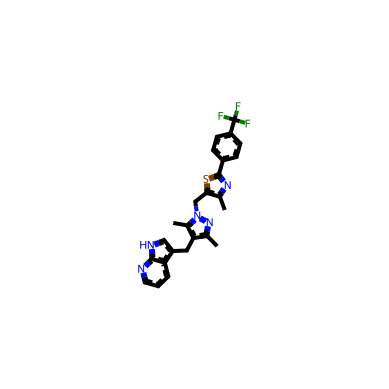 Cc1nc(-c2ccc(C(F)(F)F)cc2)sc1Cn1nc(C)c(Cc2c[nH]c3ncccc23)c1C